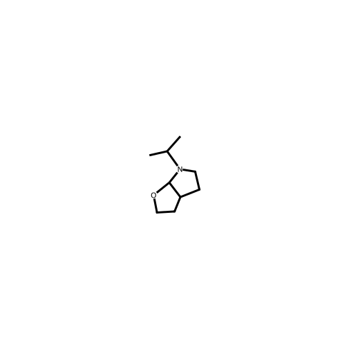 CC(C)N1CCC2CCOC21